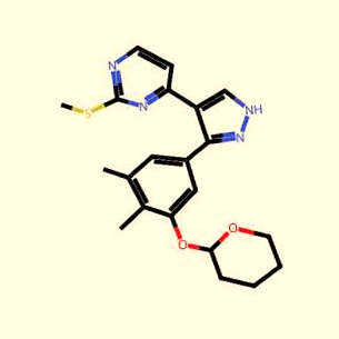 CSc1nccc(-c2c[nH]nc2-c2cc(C)c(C)c(OC3CCCCO3)c2)n1